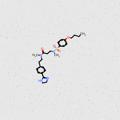 CCCCOc1ccc(S(=O)(=O)N(C)CCC(=O)N(C)CCc2ccc(C3=NCCN3)cc2)cc1